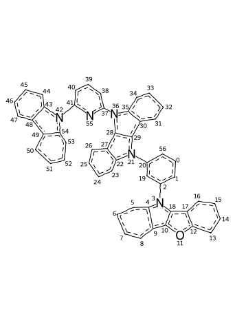 c1cc(-n2c3ccccc3c3oc4ccccc4c32)cc(-n2c3ccccc3c3c2c2ccccc2n3-c2cccc(-n3c4ccccc4c4ccccc43)n2)c1